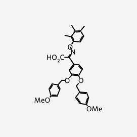 COc1ccc(COc2ccc(/C(=N/Oc3ccc(C)c(C)c3C)C(=O)O)cc2OCc2ccc(OC)cc2)cc1